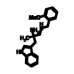 COc1ccccc1CNC[C@@](C)(N)Cc1c[nH]c2ccccc12